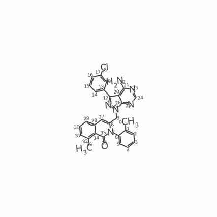 Cc1ccccc1-n1c(Cn2nc(-c3cccc(Cl)c3)c3c(N)ncnc32)cc2cccc(C)c2c1=O